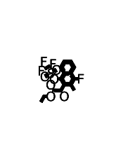 CCOC(=O)C(=O)c1c(C)c(F)c2ccccc2c1OS(=O)(=O)C(F)(F)F